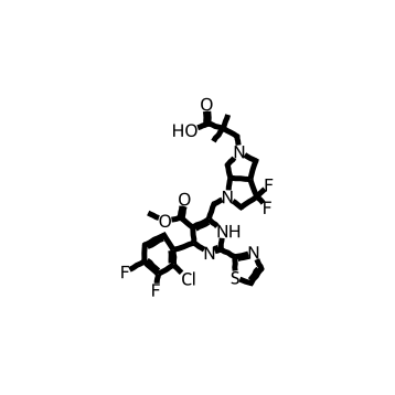 COC(=O)C1=C(CN2CC(F)(F)C3CN(CC(C)(C)C(=O)O)CC32)NC(c2nccs2)=NC1c1ccc(F)c(F)c1Cl